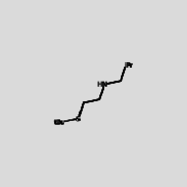 CC(C)CNCCSC(C)(C)C